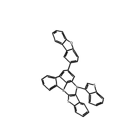 c1ccc2c(c1)B1c3sc4ccccc4c3N(c3csc4ccccc34)c3cc(-c4ccc5oc6ccccc6c5c4)cc-2c31